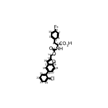 O=C(N[C@H](Cc1ccc(F)cc1)C(=O)O)OCc1cc2cc(-c3ccccc3Cl)ccc2o1